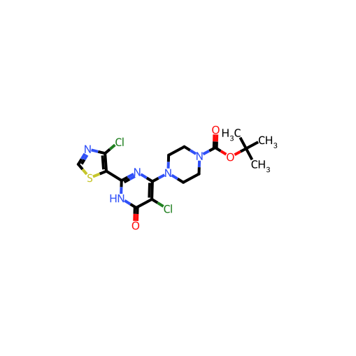 CC(C)(C)OC(=O)N1CCN(c2nc(-c3scnc3Cl)[nH]c(=O)c2Cl)CC1